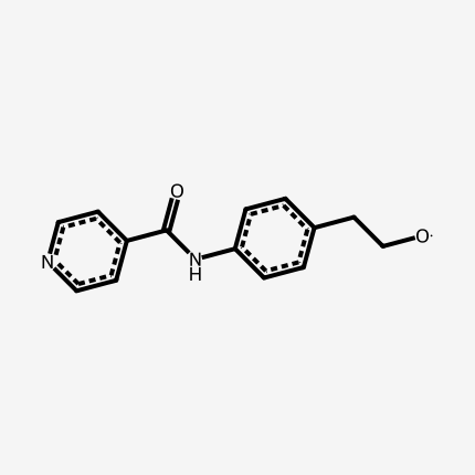 [O]CCc1ccc(NC(=O)c2ccncc2)cc1